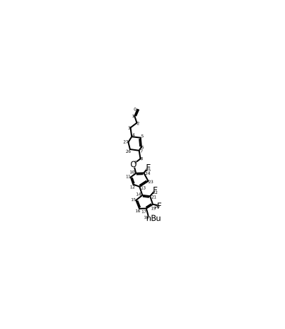 C=CCCC1C=CC(COc2ccc(-c3ccc(CCCC)c(F)c3F)cc2F)CC1